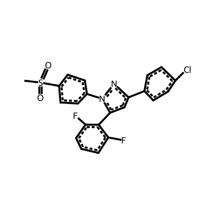 CS(=O)(=O)c1ccc(-n2nc(-c3ccc(Cl)cc3)cc2-c2c(F)cccc2F)cc1